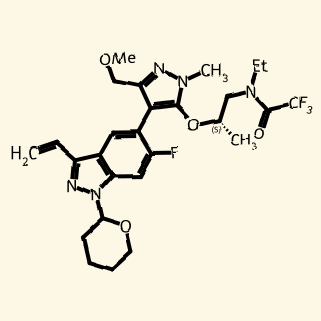 C=Cc1nn(C2CCCCO2)c2cc(F)c(-c3c(COC)nn(C)c3O[C@@H](C)CN(CC)C(=O)C(F)(F)F)cc12